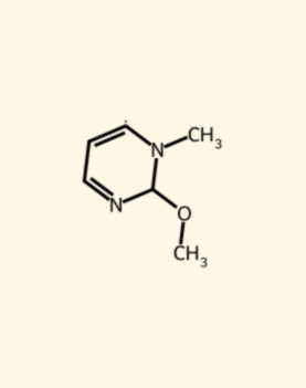 COC1N=CC=[C]N1C